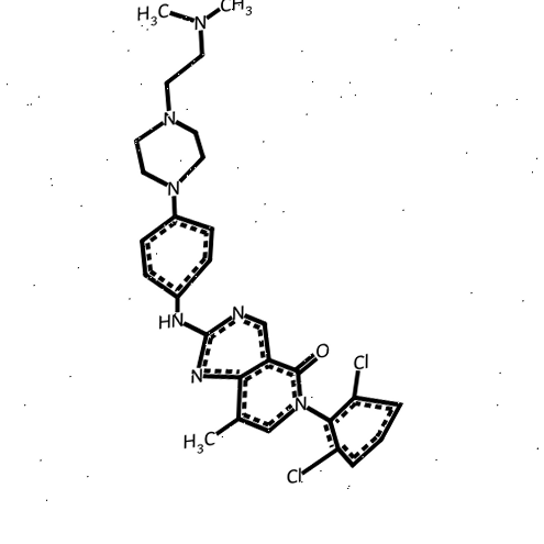 Cc1cn(-c2c(Cl)cccc2Cl)c(=O)c2cnc(Nc3ccc(N4CCN(CCN(C)C)CC4)cc3)nc12